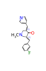 CN1C/C(=C\c2ccncc2)C(=O)/C(=C/c2cccc(F)c2)C1